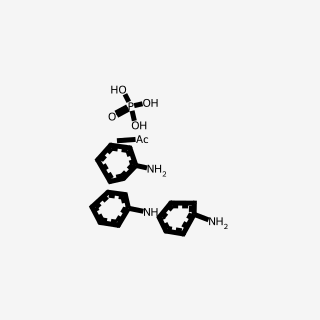 CC(C)=O.Nc1ccccc1.Nc1ccccc1.Nc1ccccc1.O=P(O)(O)O